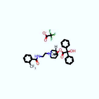 O=C(NCC[N+]12CCC(CC1)[C@@H](OC(=O)C(O)(c1ccccc1)c1ccccc1)C2)c1ccccc1C(F)(F)F.O=C([O-])C(F)(F)F